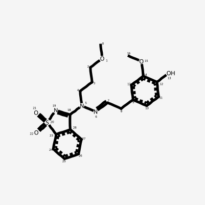 COCCCN(N=CCc1ccc(O)c(OC)c1)C1=NS(=O)(=O)c2ccccc21